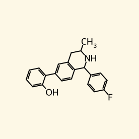 CC1Cc2cc(-c3ccccc3O)ccc2C(c2ccc(F)cc2)N1